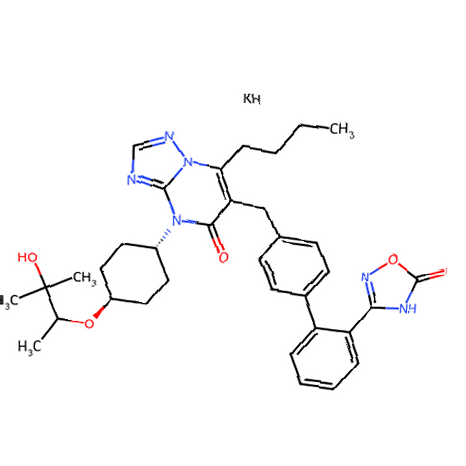 CCCCc1c(Cc2ccc(-c3ccccc3-c3noc(=O)[nH]3)cc2)c(=O)n([C@H]2CC[C@H](OC(C)C(C)(C)O)CC2)c2ncnn12.[KH]